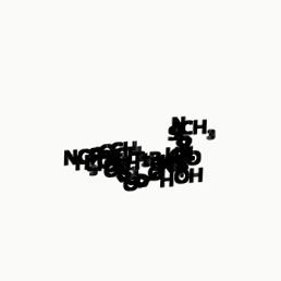 Cc1ncsc1-c1ccc(CNC(=O)[C@@H]2C[C@@H](O)CN2C(=O)[C@@H](NC(=O)COCc2ccc(Oc3ccc(C(=O)NC4C(C)(C)C(Oc5ccc(C#N)c(Cl)c5)C4(C)C)cc3)cc2)C(C)(C)C)cc1